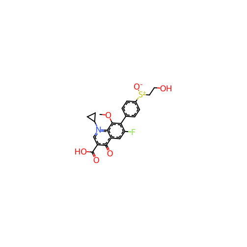 COc1c(-c2ccc([S+]([O-])CCO)cc2)c(F)cc2c(=O)c(C(=O)O)cn(C3CC3)c12